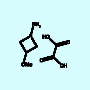 COC1CN(N)C1.O=C(O)C(=O)O